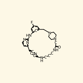 O=C1CN2CCN(CC2)Cc2cc(F)cc(c2)Nc2nccc(n2)-c2ccc(nc2)NCCCN1